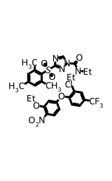 CCN(CC)C(=O)n1cnc(S(=O)(=O)c2c(C)cc(C)cc2C)n1.CCOc1cc(Oc2ccc(C(F)(F)F)cc2Cl)ccc1[N+](=O)[O-]